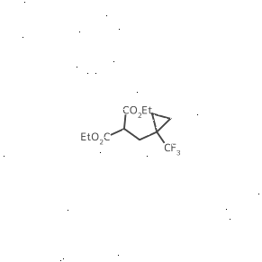 CCOC(=O)C(CC1(C(F)(F)F)CC1)C(=O)OCC